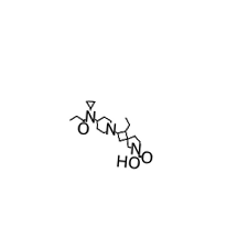 CCC(=O)N(C1CC1)C1CCN(C2CC3(CCN(C(=O)O)C3)C2CC)CC1